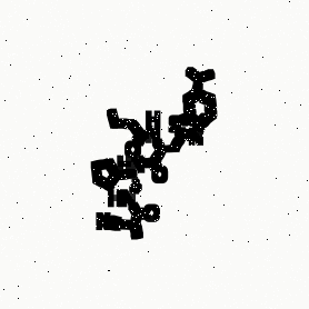 C=C(C#N)C(=O)NC[C@@H](NC(=O)[C@H](Cc1nc2ccc(C(C)C)cc2s1)NC(=O)CCC)C1CCCC1